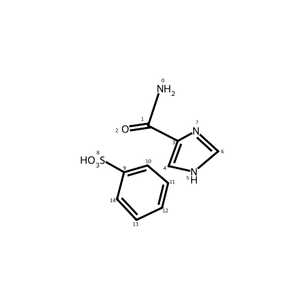 NC(=O)c1c[nH]cn1.O=S(=O)(O)c1ccccc1